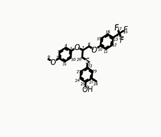 COc1ccc(OC(COc2ccc(C(F)(F)F)cc2)CSc2ccc(O)c(C)c2)cc1